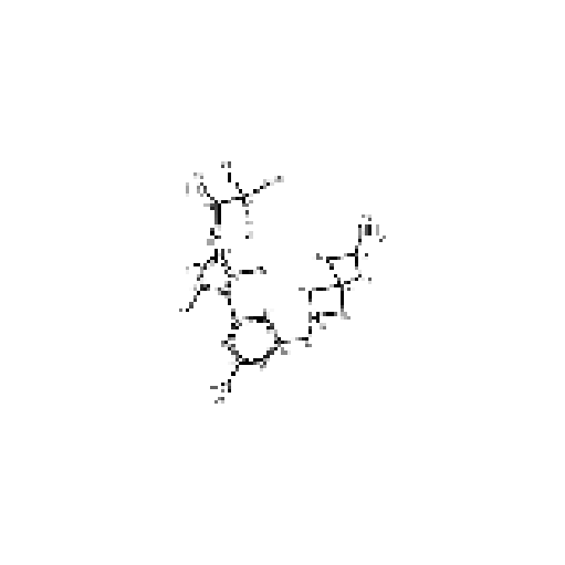 Cc1noc(C)c1-c1cc(O)cc(CN2CC3(CC(N)C3)C2)c1.O=C(O)C(F)(F)F